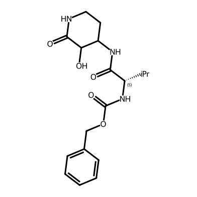 CC(C)[C@H](NC(=O)OCc1ccccc1)C(=O)NC1CCNC(=O)C1O